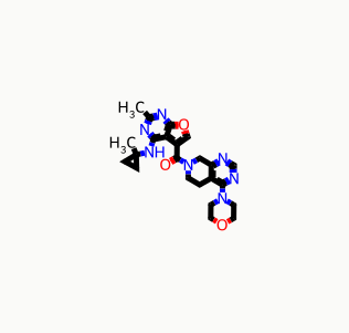 Cc1nc(NC2(C)CC2)c2c(C(=O)N3CCc4c(ncnc4N4CCOCC4)C3)coc2n1